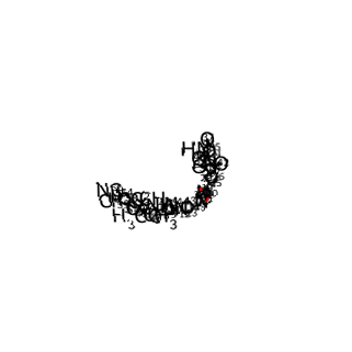 CC1(C)C(NC(=O)c2ccc(N3CCC(CN4CC5CCC4CN5c4ccc5c(c4)C(=O)N(C4CCC(=O)NC4=O)C5=O)CC3)nc2)C(C)(C)C1Oc1ccc(C#N)c(Cl)c1